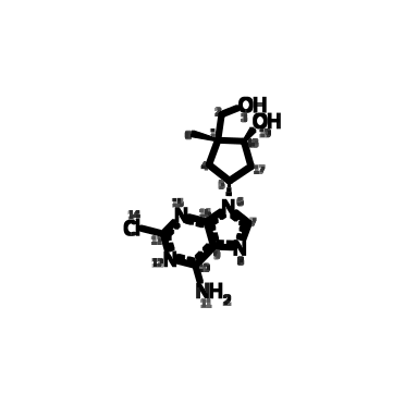 C[C@]1(CO)C[C@@H](n2cnc3c(N)nc(Cl)nc32)C[C@@H]1O